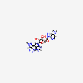 CN(C)c1ccnc(NC2OC2[C@H]2O[C@@H](n3cc(-c4ccn(C)n4)c4c(N)ncnc43)[C@H](O)[C@@H]2O)c1